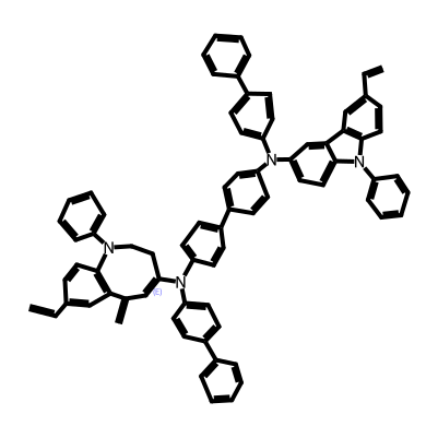 C=Cc1ccc2c(c1)C(=C)/C=C(/N(c1ccc(-c3ccccc3)cc1)c1ccc(-c3ccc(N(c4ccc(-c5ccccc5)cc4)c4ccc5c(c4)c4cc(C=C)ccc4n5-c4ccccc4)cc3)cc1)CCN2c1ccccc1